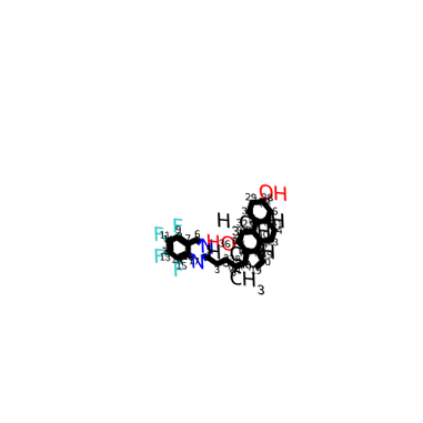 C[C@H](CCc1ncc2c(F)c(F)c(F)c(F)c2n1)[C@H]1CC[C@H]2[C@@H]3CC[C@@H]4C[C@H](O)CC[C@]4(C)C3C[C@H](O)[C@]12C